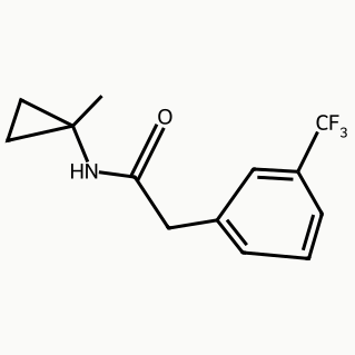 CC1(NC(=O)Cc2cccc(C(F)(F)F)c2)CC1